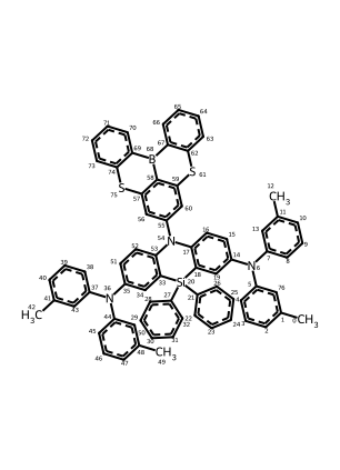 Cc1cccc(N(c2cccc(C)c2)c2ccc3c(c2)[Si](c2ccccc2)(c2ccccc2)c2cc(N(c4cccc(C)c4)c4cccc(C)c4)ccc2N3c2cc3c4c(c2)Sc2ccccc2B4c2ccccc2S3)c1